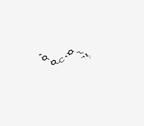 O=[N+]([O-])c1cn(CC[C@H](O)COc2ccc3nc(N4CCC(Cc5ccc(OCc6ccc(OC(F)(F)F)cc6)cc5)CC4)sc3c2)c(Cl)n1